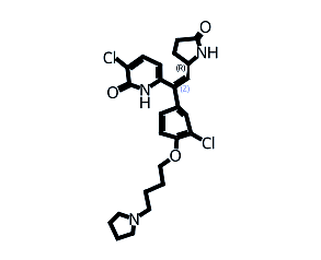 O=C1CC[C@H](/C=C(/c2ccc(OCCCCN3CCCC3)c(Cl)c2)c2ccc(Cl)c(=O)[nH]2)N1